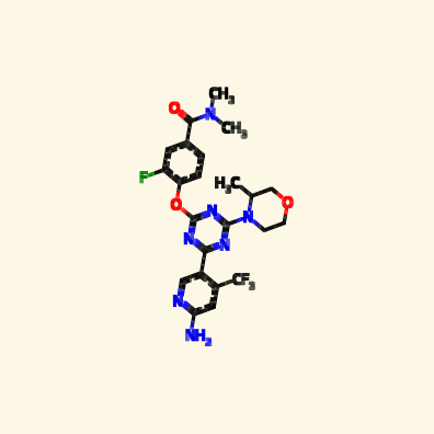 CC1COCCN1c1nc(Oc2ccc(C(=O)N(C)C)cc2F)nc(-c2cnc(N)cc2C(F)(F)F)n1